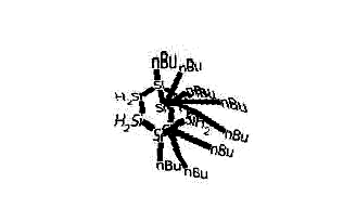 CCCC[SiH]1[SiH2][Si]2(CCCC)[SiH2][SiH2][Si]1(CCCC)[Si](CCCC)(CCCC)[Si](CCCC)(CCCC)[Si]2(CCCC)CCCC